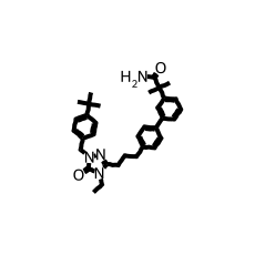 CCn1c(CCCc2ccc(-c3cccc(C(C)(C)C(N)=O)c3)cc2)nn(Cc2ccc(C(C)(C)C)cc2)c1=O